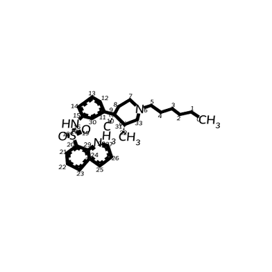 CCCCCCN1CC[C@](C)(c2cccc(NS(=O)(=O)c3cccc4cccnc34)c2)[C@@H](C)C1